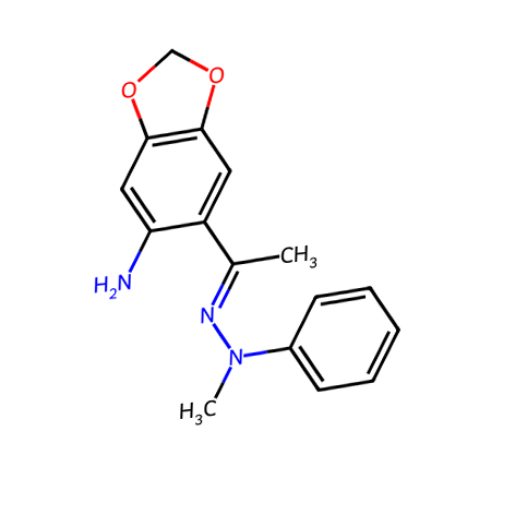 C/C(=N\N(C)c1ccccc1)c1cc2c(cc1N)OCO2